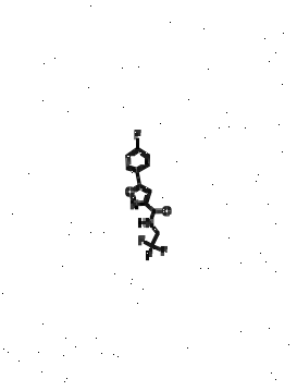 O=C(NCC(F)(F)F)c1cc(-c2ccc(F)cc2)on1